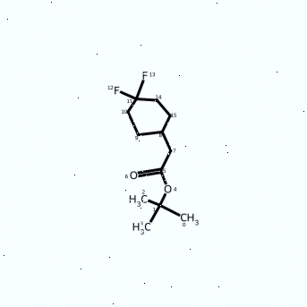 CC(C)(C)OC(=O)CC1CCC(F)(F)CC1